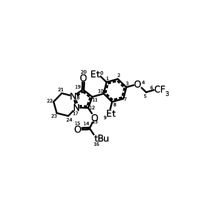 CCc1cc(OCC(F)(F)F)cc(CC)c1-c1c(OC(=O)C(C)(C)C)n2n(c1=O)CCCC2